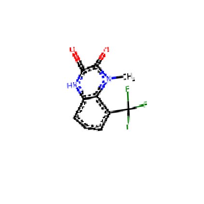 Cn1c(=O)c(=O)[nH]c2cccc(C(F)(F)F)c21